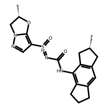 C[C@H]1Cn2ncc([SH](=O)=NC(=O)Nc3c4c(cc5c3C[C@H](F)C5)CCC4)c2O1